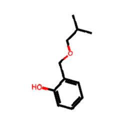 CC(C)COCc1ccccc1O